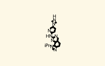 CC(C)n1cnc2ccc3cnc(Nc4ccc(N5CNC5)cn4)nc3c21